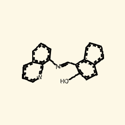 Oc1ccc2ccccc2c1C=Nc1cccc2cccnc12